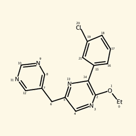 CCOc1ncc(Cc2cncnc2)nc1-c1cccc(Cl)c1